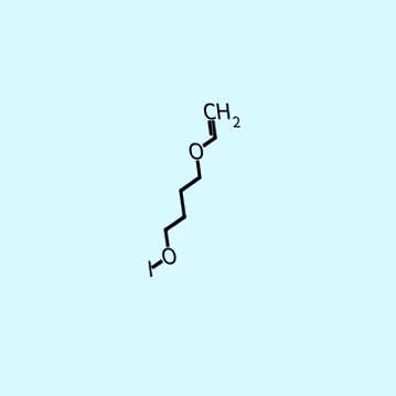 C=COCCCCOI